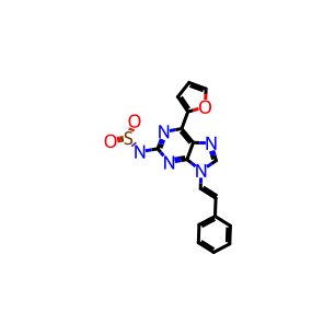 O=S(=O)=Nc1nc(-c2ccco2)c2ncn(C=Cc3ccccc3)c2n1